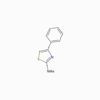 CNc1nc(-c2ccccc2)cs1